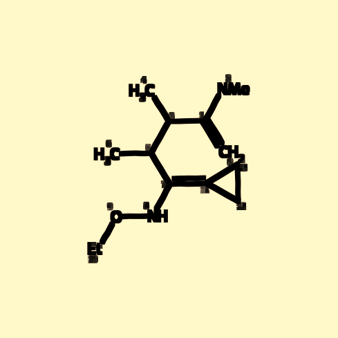 C=C(NC)C(C)C(C)C(NOCC)=C1CC1